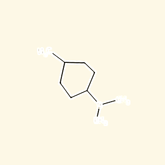 BB(C)C1CCC(C)CC1